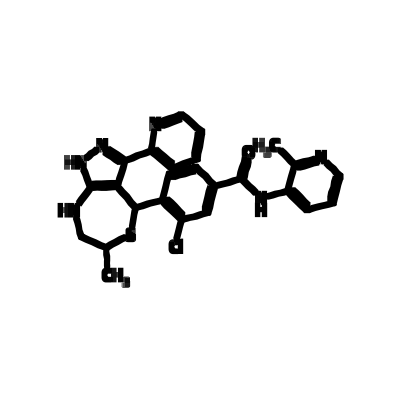 Cc1ncccc1NC(=O)c1ccc(C2SC(C)CNc3[nH]nc(-c4ccccn4)c32)c(Cl)c1